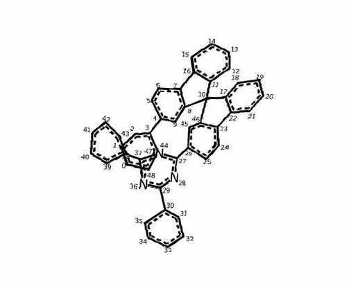 c1ccc(-c2ccc3c(c2)C2(c4ccccc4-3)c3ccccc3-c3ccc(-c4nc(-c5ccccc5)nc(-c5ccccc5)n4)cc32)cc1